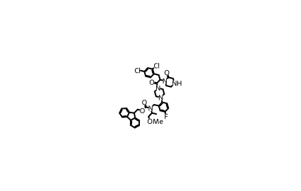 COCC(C)N(Cc1cc(F)ccc1N1CCN(C(=O)C(Cc2ccc(Cl)cc2Cl)N2CCNCC2=O)CC1)C(=O)OCC1c2ccccc2-c2ccccc21